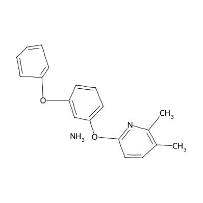 Cc1ccc(Oc2cccc(Oc3ccccc3)c2)nc1C.N